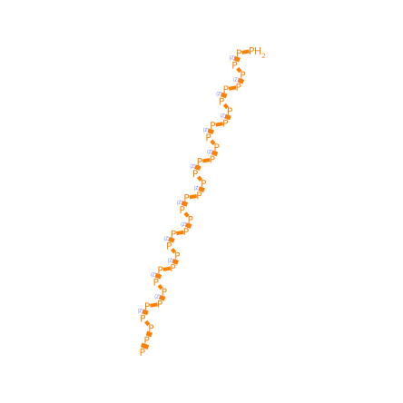 P#P=P\P=P/P=P\P=P/P=P\P=P/P=P\P=P/P=P\P=P/P=P\P=P/P=P\P=P/P=P\P=P/P